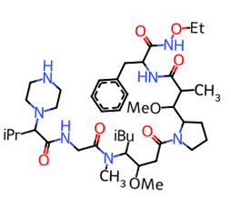 CCONC(=O)C(Cc1ccccc1)NC(=O)C(C)C(OC)C1CCCN1C(=O)CC(OC)C(C(C)CC)N(C)C(=O)CNC(=O)C(C(C)C)N1CCNCC1